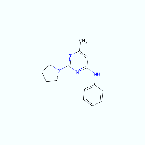 Cc1cc(Nc2ccccc2)nc(N2CCCC2)n1